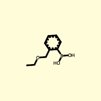 CCOCc1ccccc1B(O)O